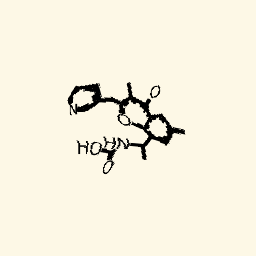 Cc1cc(C(C)NC(=O)O)c2oc(-c3cccnc3)c(C)c(=O)c2c1